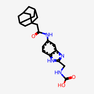 O=C(O)NCc1nc2cc(NC(=O)CC34CC5CC(CC(C5)C3)C4)ccc2[nH]1